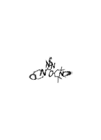 CON1C(C)(C)CC(Oc2nsnc2N2CCOCC2)CC1(C)C